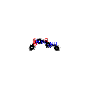 Cc1ccc(COC(=O)N2CCC(CNC(=O)c3ccnc(NCCc4ccccc4)c3)CC2)cc1